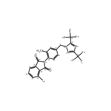 Cc1cc(Cn2nc(C(F)(F)F)nc2C(F)(F)F)ccc1N1C(=O)c2cccc(I)c2C1=O